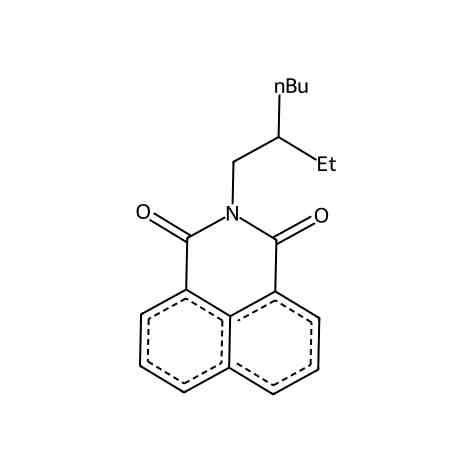 CCCCC(CC)CN1C(=O)c2cccc3cccc(c23)C1=O